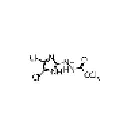 O=C(NNc1nc(Cl)c(Cl)[nH]1)C(Cl)(Cl)Cl